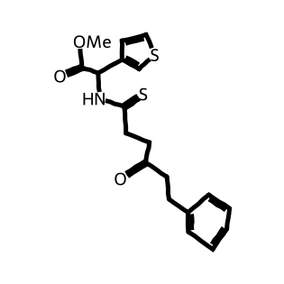 COC(=O)C(NC(=S)CCC(=O)CCc1ccccc1)c1ccsc1